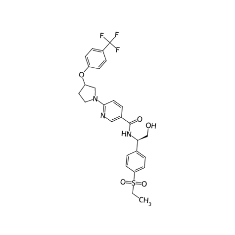 CCS(=O)(=O)c1ccc([C@H](CO)NC(=O)c2ccc(N3CCC(Oc4ccc(C(F)(F)F)cc4)C3)nc2)cc1